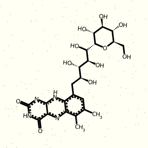 Cc1cc(C[C@H](O)[C@H](O)[C@H](O)C(O)[C@H]2O[C@H](CO)[C@@H](O)[C@H](O)[C@H]2O)c2[nH]c3nc(=O)[nH]c(=O)c-3nc2c1C